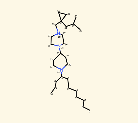 CCCCCCCC(CCC)N1CCC(N2CCN(CC3(CC(C)C)CC3)CC2)CC1